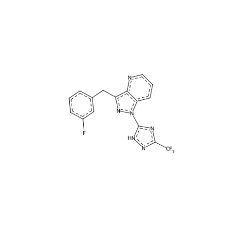 Fc1cccc(Cc2nn(-c3nc(C(F)(F)F)n[nH]3)c3cccnc23)c1